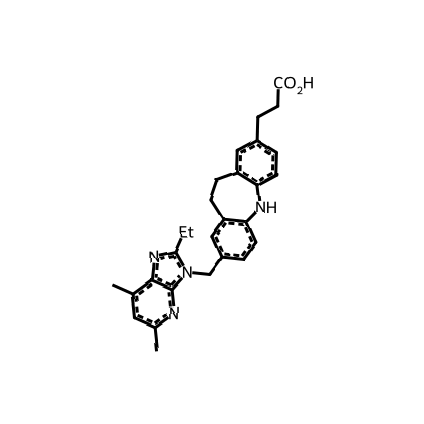 CCc1nc2c(C)cc(C)nc2n1Cc1ccc2c(c1)CCc1cc(CCC(=O)O)ccc1N2